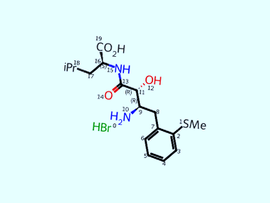 Br.CSc1ccccc1C[C@@H](N)[C@@H](O)C(=O)N[C@@H](CC(C)C)C(=O)O